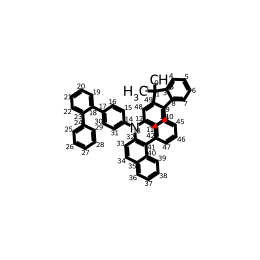 CC1(C)c2ccccc2-c2ccc(N(c3ccc(-c4ccccc4-c4ccccc4)cc3)c3ccc4ccccc4c3-c3ccccc3)cc21